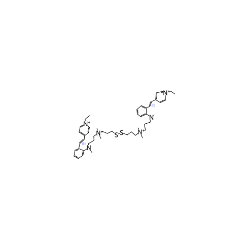 CC[n+]1ccc(/C=C/c2ccccc2N(C)CCC[N+](C)(C)CCCSSCCC[N+](C)(C)CCCN(C)c2ccccc2/C=C/c2cc[n+](CC)cc2)cc1